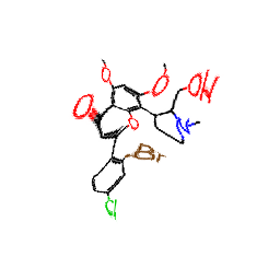 COc1cc(OC)c2c(=O)cc(-c3ccc(Cl)cc3Br)oc2c1C1CCN(C)C1CO